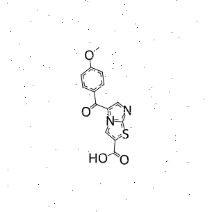 COc1ccc(C(=O)c2cnc3sc(C(=O)O)cn23)cc1